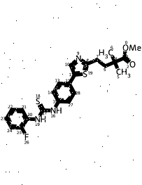 COC(=O)C(C)(C)CCc1ncc(-c2ccc(NC(=S)Nc3ccccc3F)cc2)s1